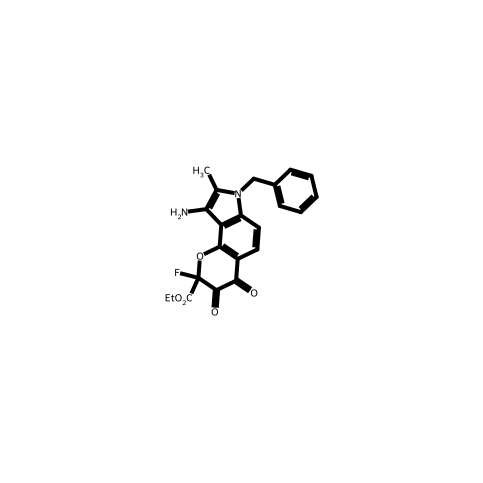 CCOC(=O)C1(F)Oc2c(ccc3c2c(N)c(C)n3Cc2ccccc2)C(=O)C1=O